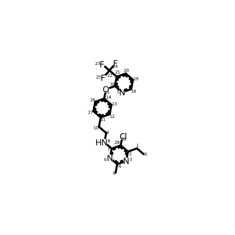 CCc1nc(C)nc(NCCc2ccc(Oc3ncccc3C(F)(F)F)cc2)c1Cl